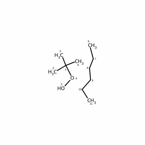 CC(C)(C)OO.CCCCCC